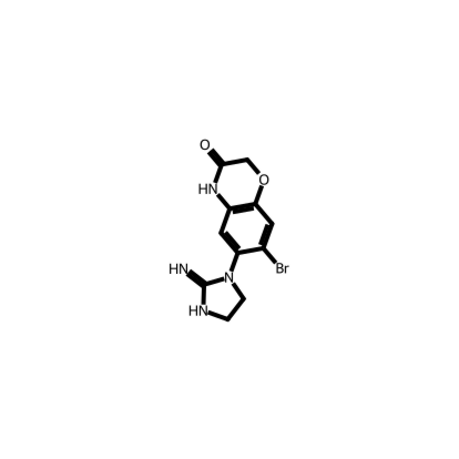 N=C1NCCN1c1cc2c(cc1Br)OCC(=O)N2